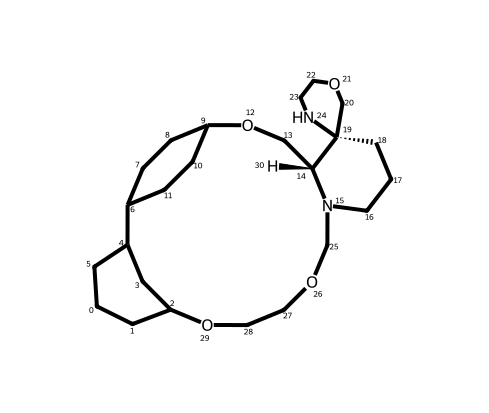 C1CC2CC(C1)C1CCC(CC1)OC[C@H]1N(CCC[C@]13COCCN3)COCCO2